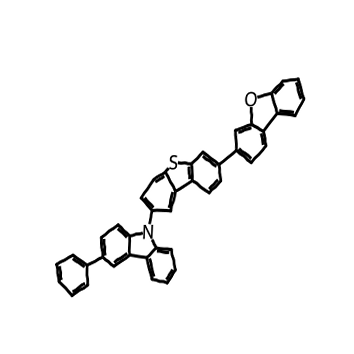 c1ccc(-c2ccc3c(c2)c2ccccc2n3-c2ccc3sc4cc(-c5ccc6c(c5)oc5ccccc56)ccc4c3c2)cc1